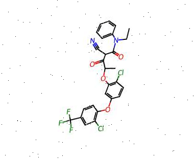 CCN(C(=O)C(C#N)C(=O)C(C)Oc1cc(Oc2ccc(C(F)(F)F)cc2Cl)ccc1Cl)c1ccccc1